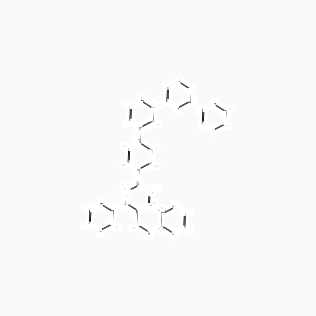 c1ccc(-c2cccc(-c3cccc(-c4ccc(-c5nc(-c6ccccc6)c6ccc7ccccc7c6n5)cc4)c3)c2)cc1